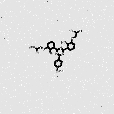 CCCCC(CC)COc1cccc(-c2nc(-c3ccc(OC)cc3)nc(-c3cccc(OCC(CC)CCCC)c3O)n2)c1O